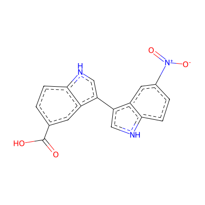 O=C(O)c1ccc2[nH]cc(-c3c[nH]c4ccc([N+](=O)[O-])cc34)c2c1